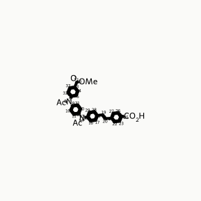 COC(=O)c1ccc(N(C(C)=O)c2ccc(N(C(C)=O)c3ccc(C=Cc4ccc(C(=O)O)cc4)cc3)cc2)cc1